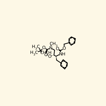 CN(C[C@@H](O)[C@H](Cc1ccccc1)NC(=O)OCc1ccccc1)C(=O)OC(C)(C)C